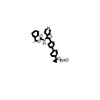 C[C@@H](OC(=O)Nc1c(-c2ccc(-c3ccc(C4(OC=O)CC4)cc3)cc2)sc2cnccc12)c1ccccc1